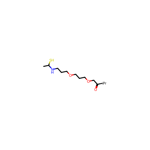 CC(S)NCCCOCCCOCC(=O)C(C)C